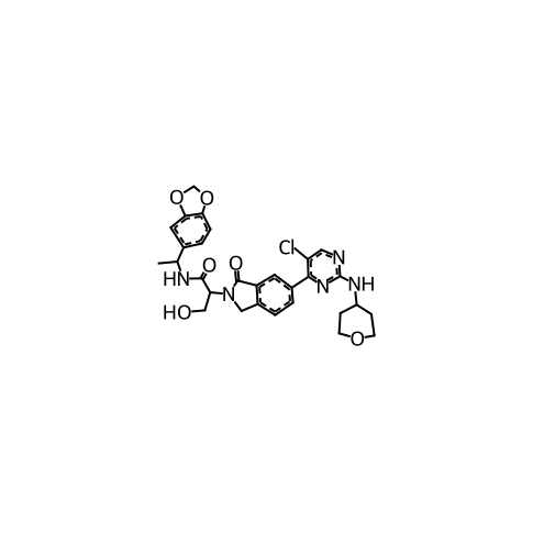 CC(NC(=O)C(CO)N1Cc2ccc(-c3nc(NC4CCOCC4)ncc3Cl)cc2C1=O)c1ccc2c(c1)OCO2